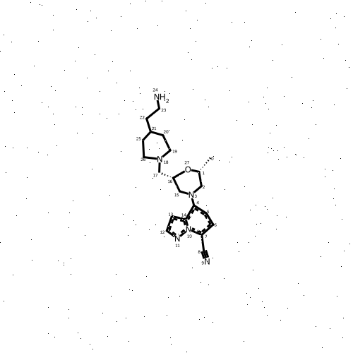 C[C@@H]1CN(c2ccc(C#N)n3nccc23)C[C@H](CN2CCC(CCN)CC2)O1